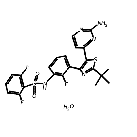 CC(C)(C)c1nc(-c2cccc(NS(=O)(=O)c3c(F)cccc3F)c2F)c(-c2ccnc(N)n2)s1.O